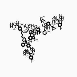 CC(C)(C(=O)O)c1ccc(C(O)CCCN2CCC(C(O)(c3ccccc3)c3ccccc3)CC2)cc1.CCN(CC)C(=O)[C@@H]1C=C2c3cccc4[nH]cc(c34)C[C@H]2N(C)C1.Nc1[nH]c(=O)ncc1F.O=C(NCC1CCCCN1)c1cc(OCC(F)(F)F)ccc1OCC(F)(F)F.OC(Cn1cncn1)(Cn1cncn1)c1ccc(F)cc1F.OC(Cn1cncn1)(Cn1cncn1)c1ccc(F)cc1F